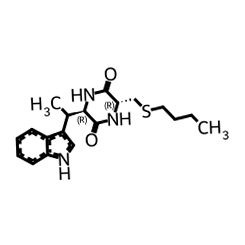 CCCCSC[C@@H]1NC(=O)[C@@H](C(C)c2c[nH]c3ccccc23)NC1=O